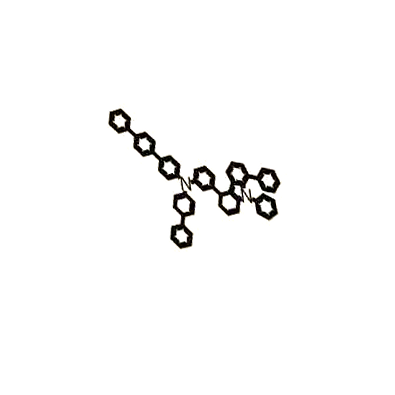 C1=Cc2c(c3cccc(-c4ccccc4)c3n2-c2ccccc2)C(c2cccc(N(C3=CCC(c4ccccc4)C=C3)c3ccc(-c4ccc(-c5ccccc5)cc4)cc3)c2)C1